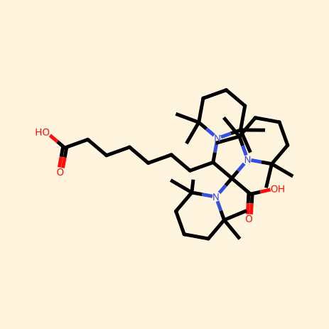 CC1(C)CCCC(C)(C)N1C(CCCCCCC(=O)O)C(C(=O)O)(N1C(C)(C)CCCC1(C)C)N1C(C)(C)CCCC1(C)C